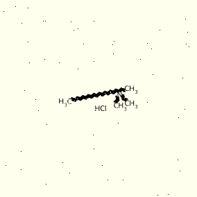 CCCCCCCCCCCCCCCCCCC(CCC)N(CCCC)CCCC.Cl